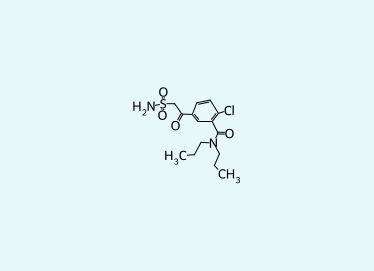 CCCN(CCC)C(=O)c1cc(C(=O)CS(N)(=O)=O)ccc1Cl